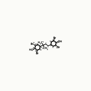 CC(C)(CCc1cc(Br)c(O)c(Br)c1)c1cc(Br)c(O)c(Br)c1